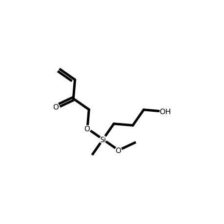 C=CC(=O)CO[Si](C)(CCCO)OC